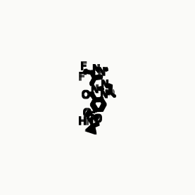 C[C@@H]1CN=C2N(Cc3cn(C)nc3C(F)F)C(=O)c3cc(S(=O)(=O)NC4(C)CC4)ccc3N21